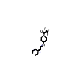 C\C=C/C(=C\C=N\C1CCN(C(=O)C(F)(F)F)CC1)CC